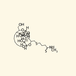 CNC(=S)CCCSCC1O[C@@H]2OCCCCCC3C(CO)O[C@H](OC1[C@@H](O)[C@@H]2O)[C@@H](O)[C@@H]3O